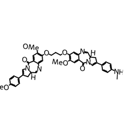 COc1ccc(C2=CN3C(=O)c4cc(OC)c(OCCCOc5cc6c(cc5OC)C(=O)N5C=C(c7ccc(NI)cc7)C[C@H]5C=N6)cc4N=C[C@@H]3C2)cc1